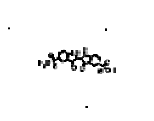 BS(=O)(=O)c1ccc2c(c1)C(=O)/C(=C1/Nc3ccc(S(=O)(=O)O)cc3C1=O)N2